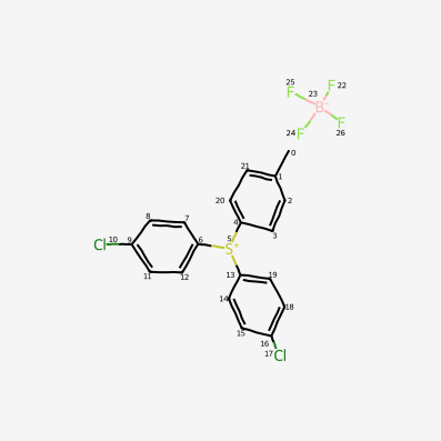 Cc1ccc([S+](c2ccc(Cl)cc2)c2ccc(Cl)cc2)cc1.F[B-](F)(F)F